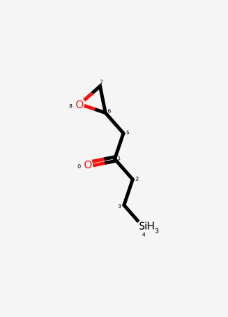 O=C(CC[SiH3])CC1CO1